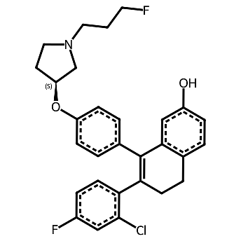 Oc1ccc2c(c1)C(c1ccc(O[C@H]3CCN(CCCF)C3)cc1)=C(c1ccc(F)cc1Cl)CC2